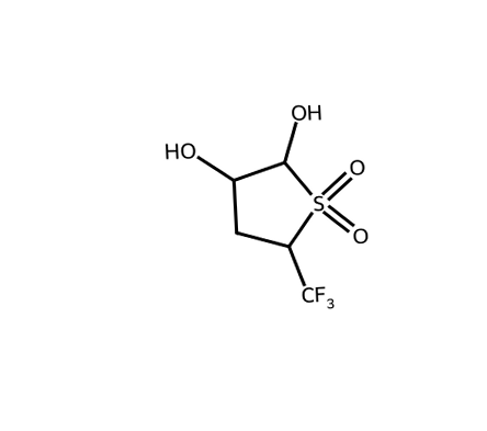 O=S1(=O)C(O)C(O)CC1C(F)(F)F